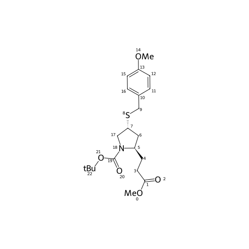 COC(=O)CC[C@@H]1C[C@@H](SCc2ccc(OC)cc2)CN1C(=O)OC(C)(C)C